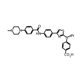 CC(C)N(c1ccc(C(=O)O)cc1)c1nc(-c2ccc(NC(=O)c3ccc(N4CCN(C)CC4)cc3)cc2)cs1